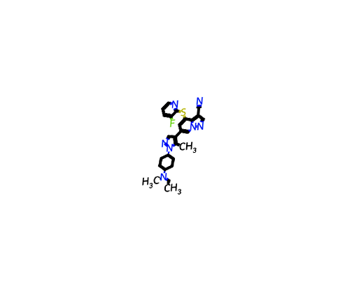 CCN(C)[C@H]1CC[C@@H](n2ncc(-c3cc(Sc4ncccc4F)c4c(C#N)cnn4c3)c2C)CC1